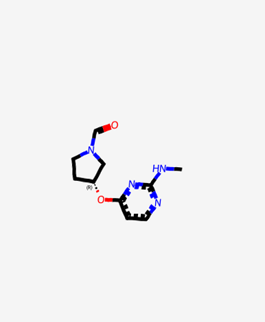 CNc1nccc(O[C@@H]2CCN(C=O)C2)n1